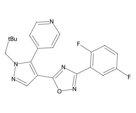 CC(C)(C)Cn1ncc(-c2nc(-c3cc(F)ccc3F)no2)c1-c1ccncc1